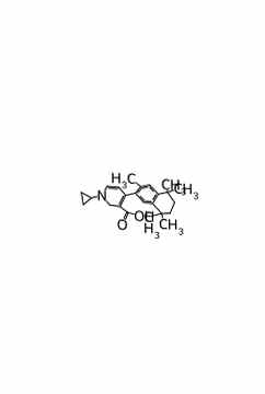 Cc1cc2c(cc1C1=C(C(=O)O)CN(C3CC3)C=C1)C(C)(C)CCC2(C)C